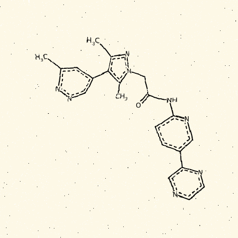 Cc1cc(-c2c(C)nn(CC(=O)Nc3ccc(-c4cnccn4)cn3)c2C)cnn1